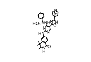 CC1NC(=O)c2ccc(Nc3ncc(-c4nc(C56CCN(CC5)CC6)no4)c(N[C@H](CO)c4ccccc4)n3)cc2C1(C)C